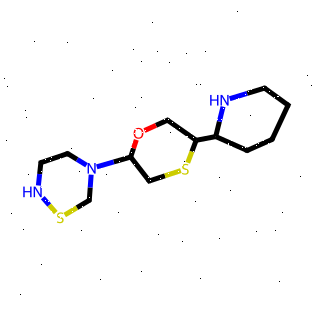 C1CCC(C2COC(N3CCNSC3)CS2)NC1